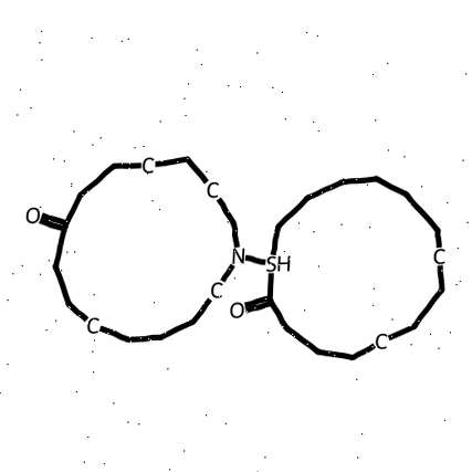 O=C1CCCCCCCN([SH]2CCCCCCCCCCCCCC2=O)CCCCCC1